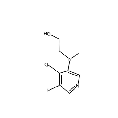 CN(CCO)c1cncc(F)c1Cl